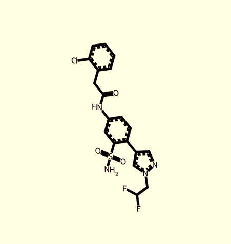 NS(=O)(=O)c1cc(NC(=O)Cc2ccccc2Cl)ccc1-c1cnn(CC(F)F)c1